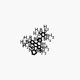 Bc1c(B)c(B)c(-c2ccc(-c3c4c(B)c(B)c(B)c(B)c4c(-n4c(C)nc5ccccc54)c4c(B)c(B)c(B)c(B)c34)cc2)c(B)c1B